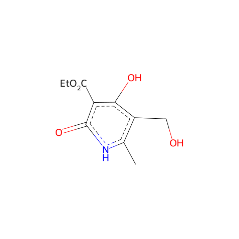 CCOC(=O)c1c(O)c(CO)c(C)[nH]c1=O